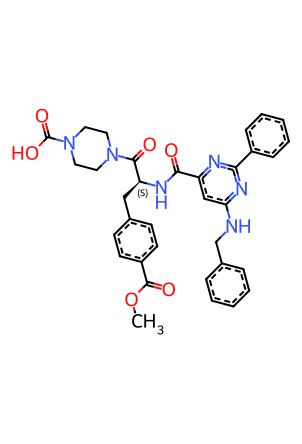 COC(=O)c1ccc(C[C@H](NC(=O)c2cc(NCc3ccccc3)nc(-c3ccccc3)n2)C(=O)N2CCN(C(=O)O)CC2)cc1